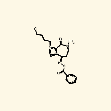 CN1CCC(=NOC(=O)c2ccccc2)c2ccn(CCCCCl)c2C1=O